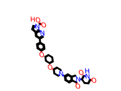 O=C1CCC(N2Cc3cc(N4CCC(O[C@H]5CCC[C@@H](Oc6ccc(-c7cnc8c(ccn8C(=O)O)c7)cc6)C5)CC4)ccc3C2=O)C(=O)N1